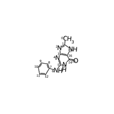 Cc1nc2nc(Nc3ccccc3)[nH]c(=O)c2[nH]1